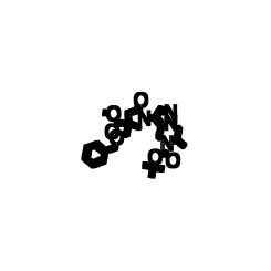 COC(=O)C1(COCc2ccccc2)CC(=O)N(c2cnn3c2CN(C(=O)OC(C)(C)C)C(C)C3)C1